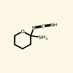 N=C=NC1([SiH3])CCCCO1